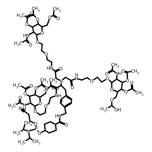 CC(=O)NC1C(OCCOCCNC(=O)CN(CC(=O)NCCOCCOC2OC(COC(C)O)C(OC(C)=O)C(OC(C)=O)C2NC(C)=O)C(Cc2ccc(CNC(=O)C3CCC(OP(OCCC#N)N(C(C)C)C(C)C)CC3)cc2)C(=O)NCCOCCOC2OC(COC(C)=O)C(OC(C)=O)C(OC(C)=O)C2NC(C)=O)OC(COC(C)=O)C(OC(C)=O)C1OC(C)=O